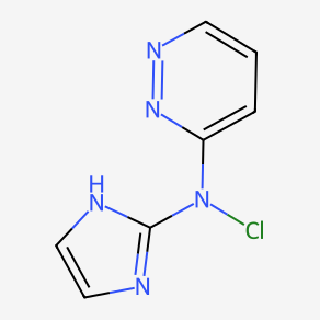 ClN(c1cccnn1)c1ncc[nH]1